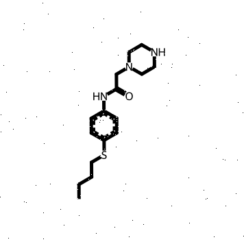 CCCCSc1ccc(NC(=O)CN2CCNCC2)cc1